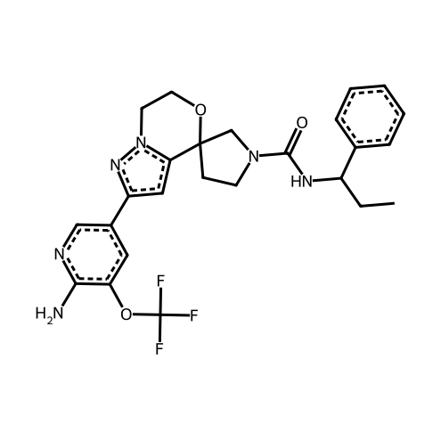 CCC(NC(=O)N1CCC2(C1)OCCn1nc(-c3cnc(N)c(OC(F)(F)F)c3)cc12)c1ccccc1